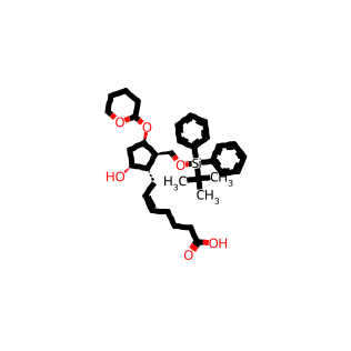 CC(C)(C)[Si](OC[C@H]1[C@H](C/C=C\CCCC(=O)O)[C@H](O)C[C@H]1OC1CCCCO1)(c1ccccc1)c1ccccc1